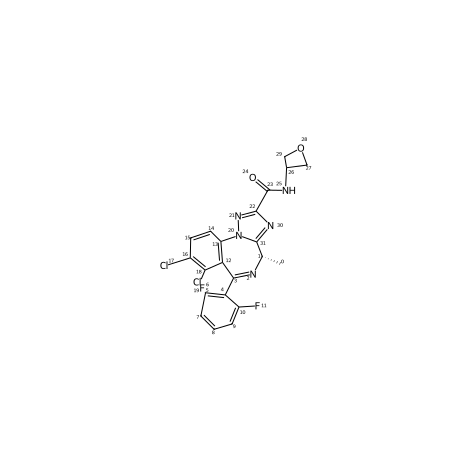 C[C@@H]1N=C(c2c(F)cccc2F)c2c(ccc(Cl)c2Cl)-n2nc(C(=O)NC3COC3)nc21